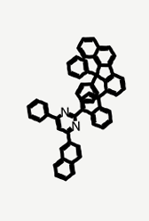 c1ccc(-c2cc(-c3ccc4ccccc4c3)nc(-c3ccc(-c4cccc5c4C(c4ccccc4)(c4ccccc4)c4c-5ccc5ccccc45)c4ccccc34)n2)cc1